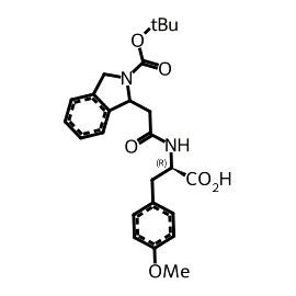 COc1ccc(C[C@@H](NC(=O)CC2c3ccccc3CN2C(=O)OC(C)(C)C)C(=O)O)cc1